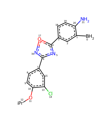 Bc1cc(-c2nc(-c3ccc(OC(C)C)c(Cl)c3)no2)ccc1N